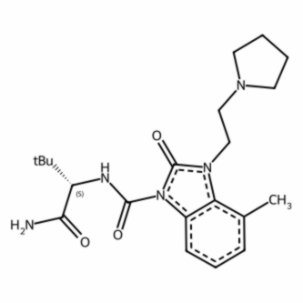 Cc1cccc2c1n(CCN1CCCC1)c(=O)n2C(=O)N[C@H](C(N)=O)C(C)(C)C